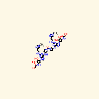 Cn1cnc(CCNc2nc(N[C@@H]3CCN(C(=O)N4CC[C@@H](Nc5nc(NCCc6cn(C)cn6)nc6c5ncn6[C@@H]5C[C@H](NC(=O)CO)[C@@H](O)[C@H]5O)C4)C3)c3ncn([C@@H]4C[C@H](NC(=O)CO)[C@@H](O)[C@H]4O)c3n2)c1